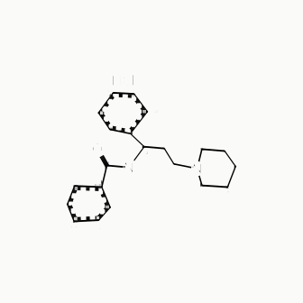 Cl.O=C(NC(CCN1CCCCC1)c1ccccc1)c1ccccc1